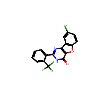 O=c1[nH]c(-c2ccccc2C(F)(F)F)nc2c1oc1ccc(Br)cc12